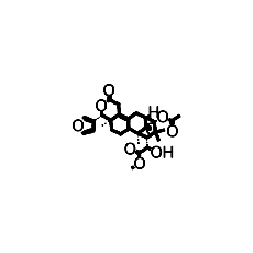 COC(=O)C(O)[C@H]1C(C)(C)[C@@H](OC(C)=O)[C@@H]2CC3=C4CC(=O)O[C@@H](c5ccoc5)[C@]4(C)CCC3[C@@]1(C)C2=O